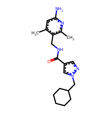 Cc1cc(N)nc(C)c1CNC(=O)c1cnn(CC2CCCCC2)c1